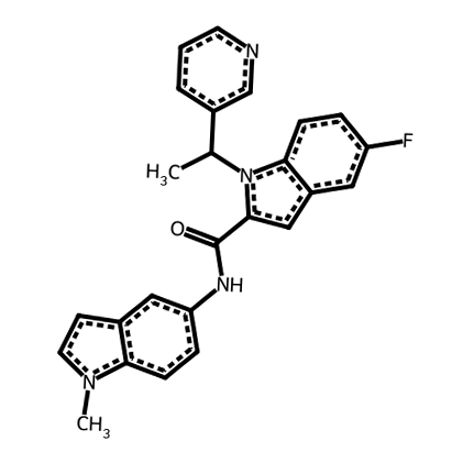 CC(c1cccnc1)n1c(C(=O)Nc2ccc3c(ccn3C)c2)cc2cc(F)ccc21